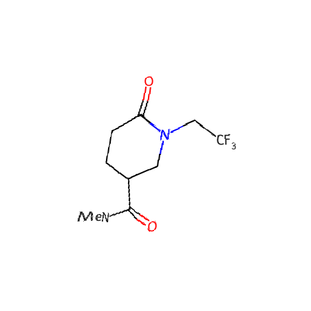 CNC(=O)C1CCC(=O)N(CC(F)(F)F)C1